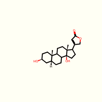 C[C@]12CC[C@H](O)C[C@H]1CCC1C2CC[C@]2(C)C(C3=CC(=O)OC3)CC[C@]12O